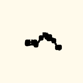 C=CC(=O)OCCCCCCOc1ccc(C(=O)Oc2ccc(C(CC)CCC(C)OCCCCCCC(C)(C)OC(=O)CCCCCC(C)(C)OC=O)cc2)cc1